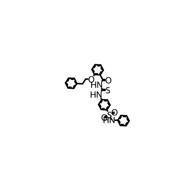 O=C(NC(=S)Nc1ccc(S(=O)(=O)Nc2ccccc2)cc1)c1ccccc1OCCc1ccccc1